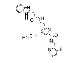 Cl.Cl.O=C(Cc1nc2ccccc2[nH]1)NCCc1nc(C(=O)NCc2ncccc2F)cs1